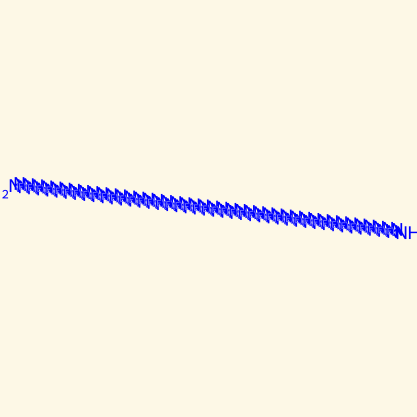 N=N/N=N/N=N/N=N/N=N/N=N/N=N/N=N/N=N/N=N/N=N/N=N/N=N/N=N/N=N/N=N/N=N/N=N/N=N/N=N/N=N/N=N/N=N/N=N/N=N/N=N/N=N/N=N/N=N/N=N/N=N/N=N/N=N/N=N/N=N/N=N/N=N/N=N/N=N/N=N/N=N/N=N/N